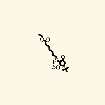 CCOC(=O)CCCCCCSC1=C(O[SiH](C)C)[C@H](C(C)(C)C)CC1=O